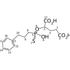 O=C(O)CCC(OP(O)(=S)CCCc1ccccc1)C(=O)O